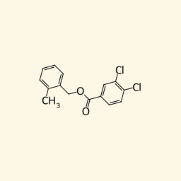 Cc1ccccc1COC(=O)c1ccc(Cl)c(Cl)c1